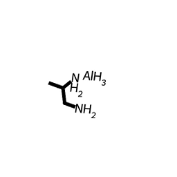 CC(N)CN.[AlH3]